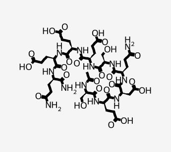 CC(=O)N[C@H](CO)C(=O)N[C@H](CCC(=O)O)C(=O)N[C@H](CC(=O)O)C(=O)N[C@H](CCC(N)=O)C(=O)N[C@H](CO)C(=O)N[C@H](CCC(=O)O)C(=O)N[C@H](CCC(=O)O)C(=O)N[C@H](CCC(=O)O)C(=O)N[C@H](CCC(N)=O)C(N)=O